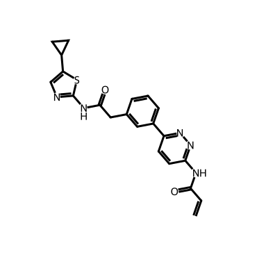 C=CC(=O)Nc1ccc(-c2cccc(CC(=O)Nc3ncc(C4CC4)s3)c2)nn1